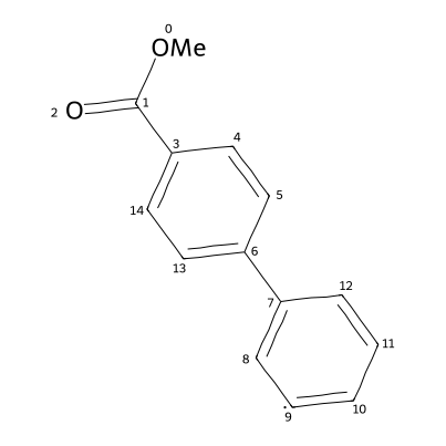 COC(=O)c1ccc(-c2c[c]ccc2)cc1